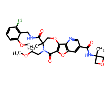 COCCN1C(=O)c2oc3cc(C(=O)NC4(C)COC4)cnc3c2OCC1(C)C(=O)NCc1c(Cl)cccc1OC